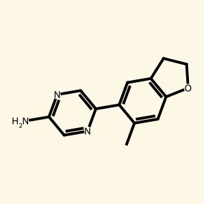 Cc1cc2c(cc1-c1cnc(N)cn1)CCO2